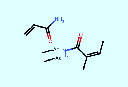 C=CC(N)=O.CC(C)=O.CC(C)=O.CC=C(C)C(N)=O